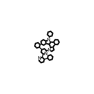 c1ccc(-c2cc(-c3ncccc3-c3ccccc3)nc(-n3ccc4c5ccccc5c5c(c6ccccc6n5-c5ccccc5)c43)c2)cc1